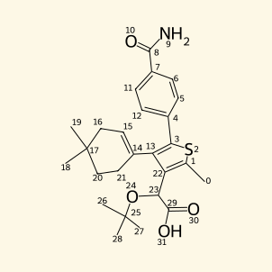 Cc1sc(-c2ccc(C(N)=O)cc2)c(C2=CCC(C)(C)CC2)c1C(OC(C)(C)C)C(=O)O